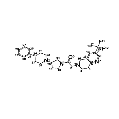 O=C(CN1CCc2ncc(C(F)(F)F)cc2C1)N1CCC(N2CCC(c3ccccc3)CC2)C1